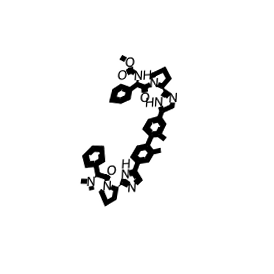 COC(=O)N[C@@H](C(=O)N1CCC[C@H]1C1=NCC(c2ccc(-c3ccc(-c4cnc([C@@H]5CCCN5C(=O)[C@@H](c5ccccc5)N(C)C)[nH]4)cc3C)c(C)c2)N1)c1ccccc1